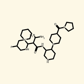 NC(N)C(C(=O)NC1CNCCC1N1CCC(C(=O)N2CCCC2)CC1)C1NCC(F)C[N+]12CCCCC2